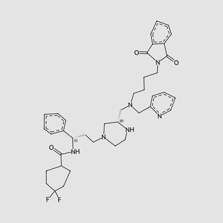 O=C(N[C@@H](CCN1CCN[C@@H](CN(CCCCN2C(=O)c3ccccc3C2=O)Cc2ccccn2)C1)c1ccccc1)C1CCC(F)(F)CC1